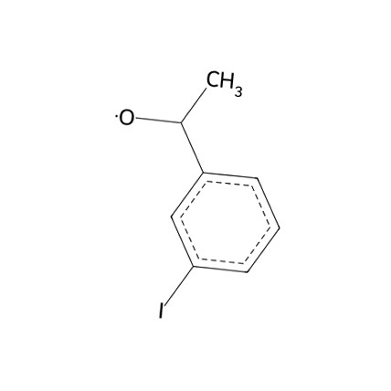 CC([O])c1cccc(I)c1